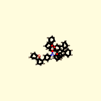 c1ccc(-c2ccc(N(c3ccc(-c4cccc5c4oc4ccccc45)cc3)c3ccccc3-c3c4c(cc5c3oc3ccccc35)-c3ccccc3C43c4ccccc4-c4ccccc43)cc2)cc1